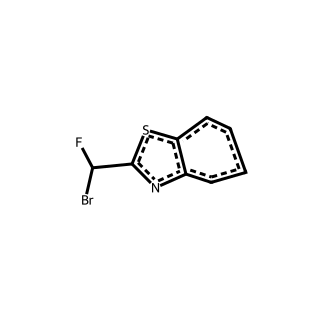 FC(Br)c1nc2ccccc2s1